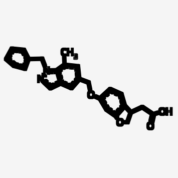 Cc1cc(COc2ccc3c(c2)OCC3CC(=O)O)cc2cnn(Cc3ccccc3)c12